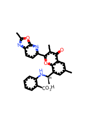 Cc1cc([C@@H](C)Nc2ccccc2C(=O)O)c2oc(-c3ccc4nc(C)oc4n3)c(C)c(=O)c2c1